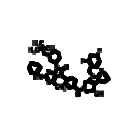 Cc1nc(Nc2ccccc2)nc2c1n(-c1ccc(C(=O)N3Cc4c(c5cccnc5n4Cc4ccc(F)cc4F)C(O)C3)cc1)c(=O)n2[C@H]1CCCN(CC(C)(C)C)C1